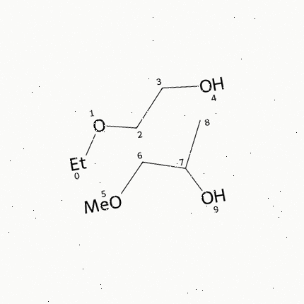 CCOCCO.COCC(C)O